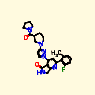 Cc1cccc(F)c1-c1cc(-n2ccc(N3CCCC(C(=O)N4CCCC4)C3)n2)c2c(n1)CNC2=O